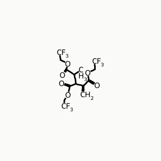 C=C(C(=O)OCC(F)(F)F)C(C(=O)OCC(F)(F)F)C(C)C(=O)OCC(F)(F)F